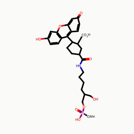 COP(=O)(O)OCC(CO)CCCCNC(=O)C1CCC(c2c3ccc(=O)cc-3oc3cc(O)ccc23)C(C(=O)O)C1